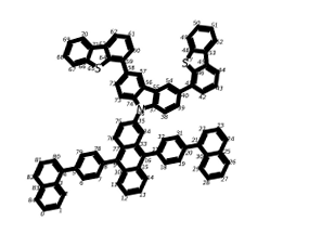 c1ccc2c(-c3ccc(-c4c5ccccc5c(-c5ccc(-c6cccc7ccccc67)cc5)c5cc(-n6c7ccc(-c8cccc9c8sc8ccccc89)cc7c7cc(-c8cccc9c8sc8ccccc89)ccc76)ccc45)cc3)cccc2c1